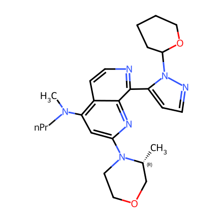 CCCN(C)c1cc(N2CCOC[C@H]2C)nc2c(-c3ccnn3C3CCCCO3)nccc12